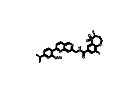 COc1nc([C@H](C)F)ccc1-c1ccc2cnc(CNC(=O)c3cc(F)c4c(c3)S(=O)(=O)[C@@H](F)CCO4)cc2n1